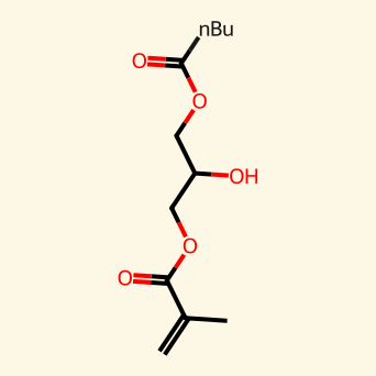 C=C(C)C(=O)OCC(O)COC(=O)CCCC